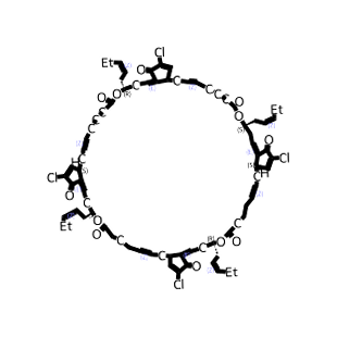 CC/C=C\C[C@@H]1C/C=C2/C(=O)C(Cl)=CC2C/C=C\CCCC(=O)O[C@@H](C/C=C\CC)C/C=C2/C(=O)C(Cl)=C[C@@H]2C/C=C\CCCC(=O)O[C@H](C/C=C\CC)C/C=C2/C(=O)C(Cl)=CC2C/C=C\CCCC(=O)O[C@@H](C/C=C\CC)C/C=C2/C(=O)C(Cl)=C[C@@H]2C/C=C\CCCC(=O)O1